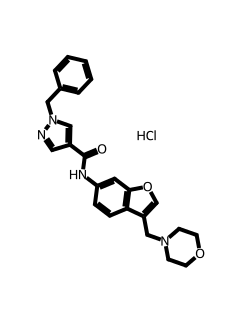 Cl.O=C(Nc1ccc2c(CN3CCOCC3)coc2c1)c1cnn(Cc2ccccc2)c1